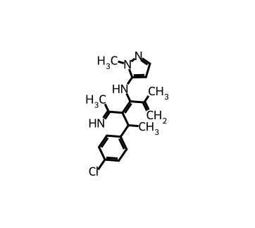 C=C(C)/C(Nc1ccnn1C)=C(/C(C)=N)C(C)c1ccc(Cl)cc1